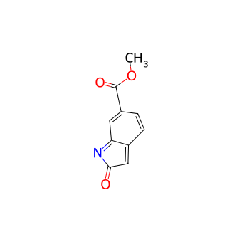 COC(=O)c1ccc2c(c1)=NC(=O)C=2